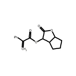 C=C(C(=O)OC1C(=O)OC2CCCC21)C(C)C